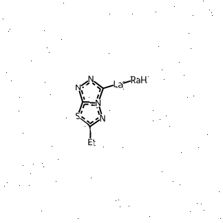 CCc1nn2[c]([La][RaH])nnc2s1